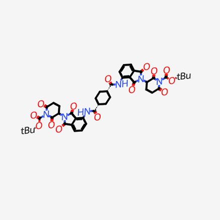 CC(C)(C)OC(=O)N1C(=O)CCC(N2C(=O)c3cccc(NC(=O)[C@H]4CC[C@@H](C(=O)Nc5cccc6c5C(=O)N(C5CCC(=O)N(C(=O)OC(C)(C)C)C5=O)C6=O)CC4)c3C2=O)C1=O